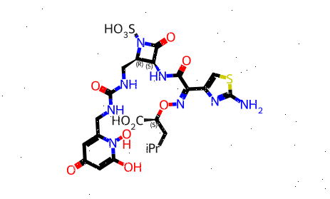 CC(C)C[C@H](ON=C(C(=O)N[C@@H]1C(=O)N(S(=O)(=O)O)[C@@H]1CNC(=O)NCc1cc(=O)cc(O)n1O)c1csc(N)n1)C(=O)O